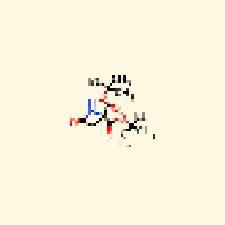 CCC(C)(C)OC(=O)C1(C(=O)OC(C)(C)CC)CC(=O)N1